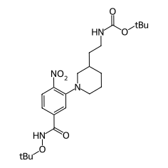 CC(C)(C)ONC(=O)c1ccc([N+](=O)[O-])c(N2CCCC(CCNC(=O)OC(C)(C)C)C2)c1